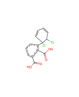 O=C(O)c1cccc(C2(Cl)C=CC=CC2Cl)c1C(=O)O